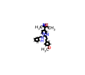 COc1ccc(CCc2nc3cc(-c4c(C)noc4C)ccn3c2NCc2ccccc2)cc1